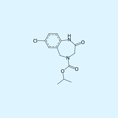 CC(C)OC(=O)N1CC(=O)Nc2ccc(Cl)cc2C1